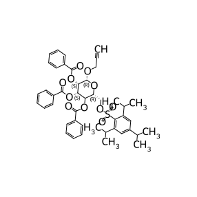 C#CCO[C@@H]1O[C@H](COS(=O)(=O)c2c(C(C)C)cc(C(C)C)cc2C(C)C)C(OC(=O)c2ccccc2)[C@H](OC(=O)c2ccccc2)[C@@H]1OC(=O)c1ccccc1